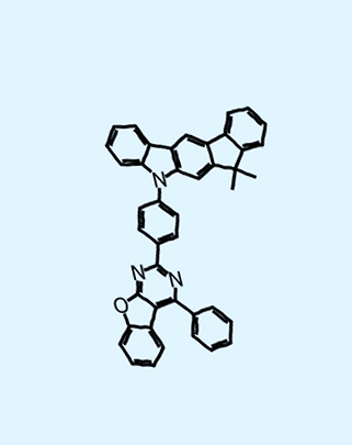 CC1(C)c2ccccc2-c2cc3c4ccccc4n(-c4ccc(-c5nc(-c6ccccc6)c6c(n5)oc5ccccc56)cc4)c3cc21